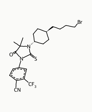 CC1(C)C(=O)N(c2ccc(C#N)c(C(F)(F)F)c2)C(=S)N1[C@H]1CC[C@H](CCCCBr)CC1